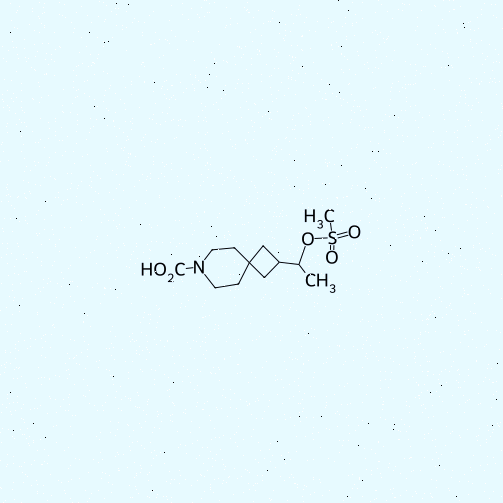 CC(OS(C)(=O)=O)C1CC2(CCN(C(=O)O)CC2)C1